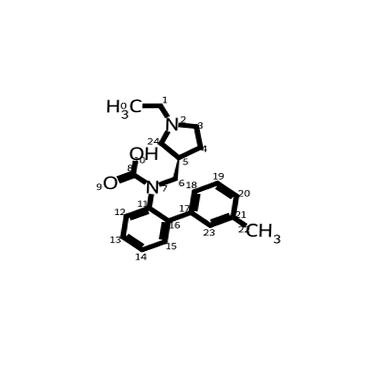 CCN1CC[C@@H](CN(C(=O)O)c2ccccc2-c2cccc(C)c2)C1